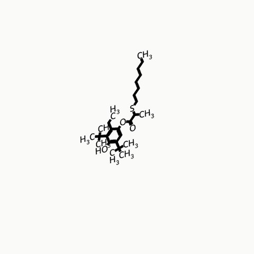 CCCCCCCCSC(C)C(=O)Oc1cc(C(C)(C)C)c(O)c(C(C)(C)C)c1CC